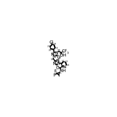 O=C(NC1CC1(F)F)c1ncccc1-n1cnc(Cn2nc(-c3ccc(Cl)cc3)n(C[C@@H](O)C(F)(F)F)c2=O)n1